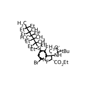 CCOC(=O)[C@H](F)[C@](C)(N[S+]([O-])C(C)(C)C)c1nc(Br)cc([Si](CC)(CC)C(C)(CC)C(C)(CC)C(C)(CC)C(C)(CC)C(C)(CC)CC)c1F